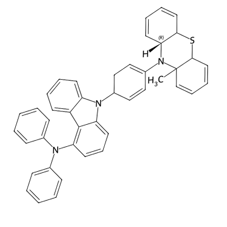 CC12C=CC=CC1SC1C=CC=C[C@H]1N2C1=CCC(n2c3ccccc3c3c(N(c4ccccc4)c4ccccc4)cccc32)C=C1